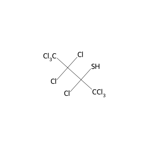 SC(Cl)(C(Cl)(Cl)Cl)C(Cl)(Cl)C(Cl)(Cl)Cl